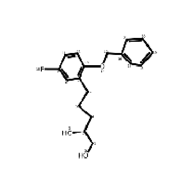 OC[C@@H](O)CCCc1cc(F)ccc1OCc1ccccc1